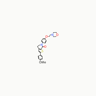 COc1ccc(-c2cc3c(s2)C(=O)N(c2ccc(OCCN4CCOCC4)cc2)CC3)cc1